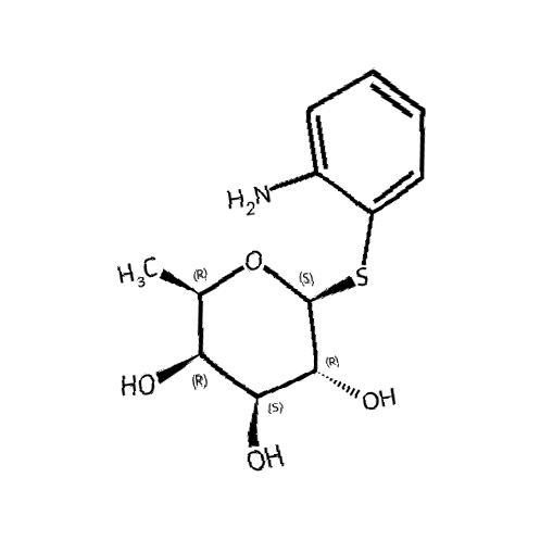 C[C@H]1O[C@@H](Sc2ccccc2N)[C@H](O)[C@@H](O)[C@H]1O